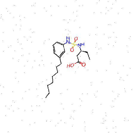 CCCCCCCCc1cccc(NS(=O)(=O)N[C@@H](CC)CC(=O)O)c1